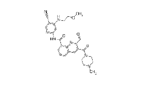 COCCNc1cc(NC(=O)c2cccc3cc(C(=O)N4CCN(C)CC4)c(C=O)nc23)ncc1C#N